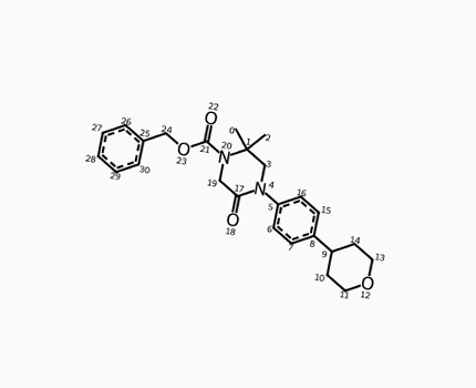 CC1(C)CN(c2ccc(C3CCOCC3)cc2)C(=O)CN1C(=O)OCc1ccccc1